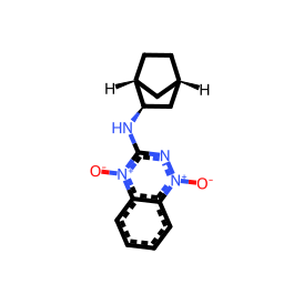 [O-][n+]1nc(N[C@@H]2C[C@H]3CC[C@@H]2C3)[n+]([O-])c2ccccc21